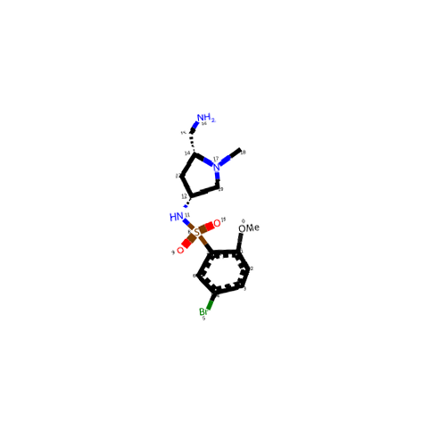 COc1ccc(Br)cc1S(=O)(=O)N[C@@H]1C[C@H](CN)N(C)C1